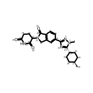 Cn1nc(-c2ccc3c(c2)CN(C2CCC(=O)NC2=O)C3=O)nc1[C@H]1CC[C@H](C)CC1